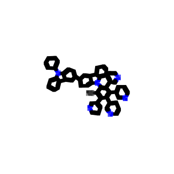 N#Cc1c(-c2cccnc2)c(-c2cccnc2)c(-c2cccnc2)c(-c2cccnc2)c1-n1c2ccccc2c2cc(-c3ccc4c(c3)c3ccccc3n4-c3ccccc3)ccc21